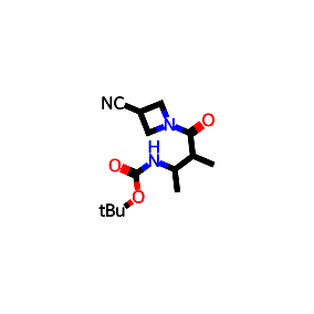 CC(NC(=O)OC(C)(C)C)C(C)C(=O)N1CC(C#N)C1